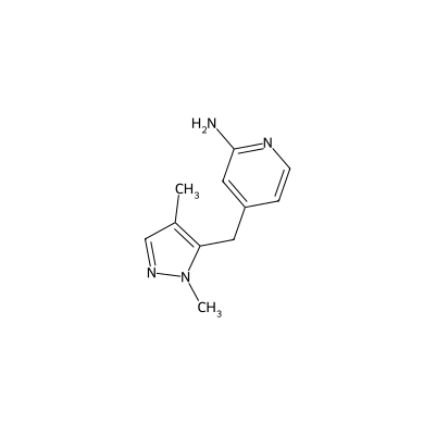 Cc1cnn(C)c1Cc1ccnc(N)c1